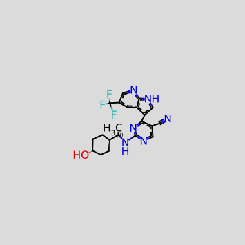 C[C@@H](Nc1ncc(C#N)c(-c2c[nH]c3ncc(C(F)(F)F)cc23)n1)[C@H]1CC[C@H](O)CC1